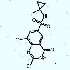 CC1(NS(=O)(=O)c2cc(Cl)c3nc(Cl)[nH]c(=O)c3c2)CC1